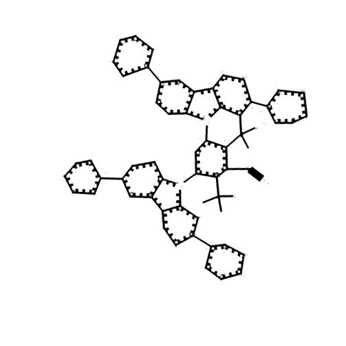 N#Cc1c(C(F)(F)F)c(-n2c3ccc(-c4ccccc4)cc3c3ccc(-c4ccccc4)cc32)cc2c1C(F)(F)c1c(-c3ccccc3)ccc3c4cc(-c5ccccc5)ccc4n-2c13